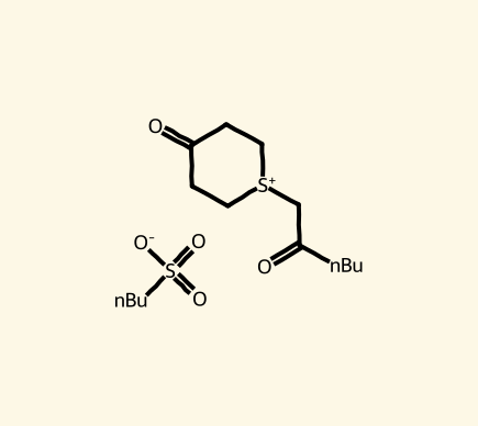 CCCCC(=O)C[S+]1CCC(=O)CC1.CCCCS(=O)(=O)[O-]